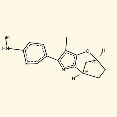 Cc1c(-c2ccc(NC(C)C)nc2)nn2c1O[C@H]1CC[C@@H]2C1